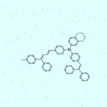 Cc1ccc(/C(=C/C=C/c2ccc(N(c3ccc(C=C(c4ccccc4)c4ccccc4)cc3)c3ccc4c(c3)CCCC4)cc2)c2ccccc2)cc1